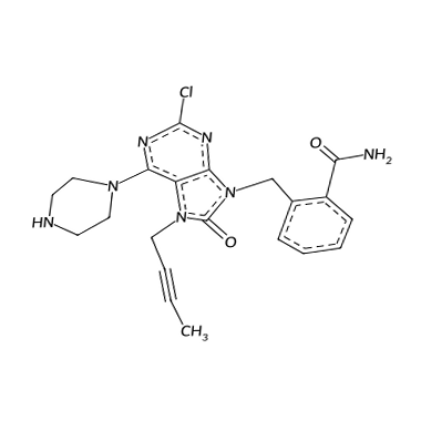 CC#CCn1c(=O)n(Cc2ccccc2C(N)=O)c2nc(Cl)nc(N3CCNCC3)c21